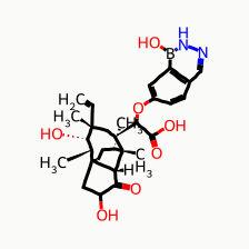 C=C[C@]1(C)C[C@@H](C(Oc2ccc3c(c2)B(O)NN=C3)C(=O)O)[C@@]2(C)[C@H](C)CC[C@]3(CC(O)C(=O)[C@H]32)[C@@H](C)[C@@H]1O